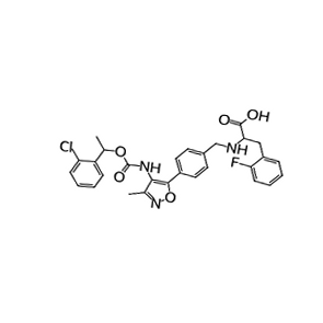 Cc1noc(-c2ccc(CNC(Cc3ccccc3F)C(=O)O)cc2)c1NC(=O)OC(C)c1ccccc1Cl